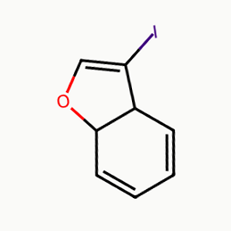 IC1=COC2C=CC=CC12